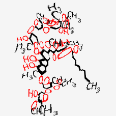 CCCCCCCCCC(=O)O[C@H](C)[C@H](O)C(=O)[C@@H](OC)[C@@H]1Cc2cc3cc(O[C@H]4C[C@@H](O[C@H]5C[C@@H](O)[C@@H](OC)C(C)O5)[C@@H](OC(C)=O)C(C)O4)c(C)c(O)c3c(O)c2C(=O)[C@H]1O[C@H]1C[C@@H](O[C@H]2C[C@@H](O[C@H]3C[C@@](C)(O)[C@@H](OC(C)=O)C(C)O3)[C@H](O)C(C)O2)[C@H](O)C(C)O1